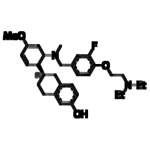 CCN(CC)CCOc1ccc(CN(C)C2C=C(OC)C=CC2[C@@H]2CCc3cc(O)ccc3C2)cc1F